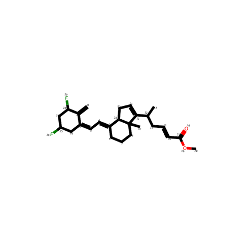 C=C1/C(=C\C=C2/CCCC3(C)C(C(C)C/C=C/C(=O)OC)=CCC23)CC(F)CC1F